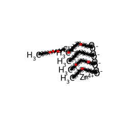 C=CCCCCCCCCCCCCCCCC.CCCCCCCC/C=C\CCCCCCCC(=O)[O-].CCCCCCCC/C=C\CCCCCCCC(=O)[O-].CCCCCCCC/C=C\CCCCCCCC(=O)[O-].CCCCCCCC/C=C\CCCCCCCC(=O)[O-].[Zr+4]